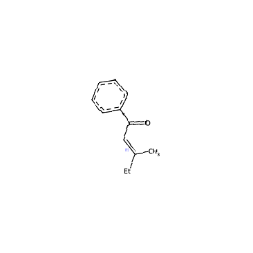 CC/C(C)=C/C(=O)c1ccccc1